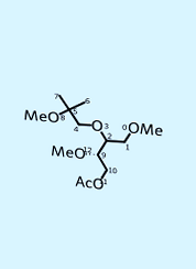 COCC(OCC(C)(C)OC)[C@H](COC(C)=O)OC